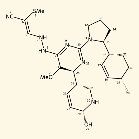 COC1C(NN/C=C(/C#N)SC)=NC(N2CCC[C@H]2[C@H]2C=C[C@@H](C)CC2)=N[C@H]1[C@H]1C=C[C@@H](O)NC1